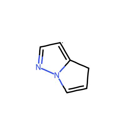 [c]1cnn2c1CC=C2